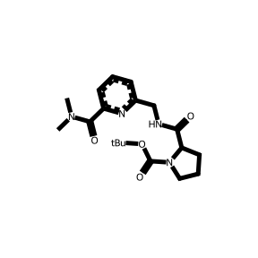 CN(C)C(=O)c1cccc(CNC(=O)C2CCCN2C(=O)OC(C)(C)C)n1